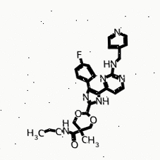 CCCNC(=O)C1(C)COC(c2nc(-c3ccc(F)cc3)c(-c3ccnc(NCc4ccncc4)n3)[nH]2)OC1